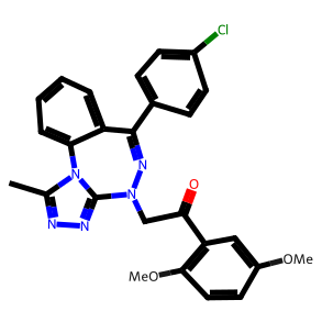 COc1ccc(OC)c(C(=O)CN2N=C(c3ccc(Cl)cc3)c3ccccc3-n3c(C)nnc32)c1